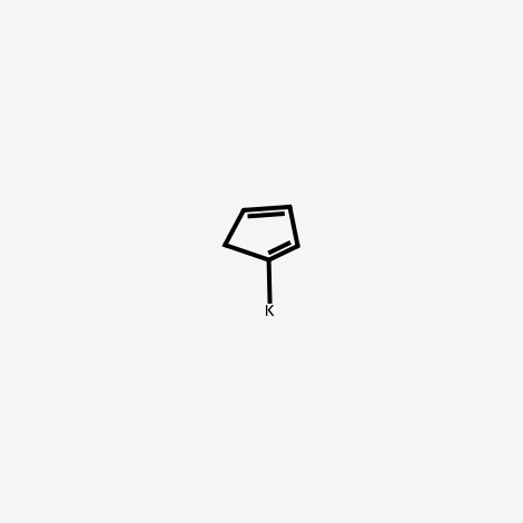 [K][C]1=CC=CC1